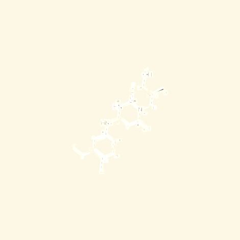 CCc1cc(Nc2cc(=O)n(C[C@H](C)CO)c(=O)[nH]2)ccc1C